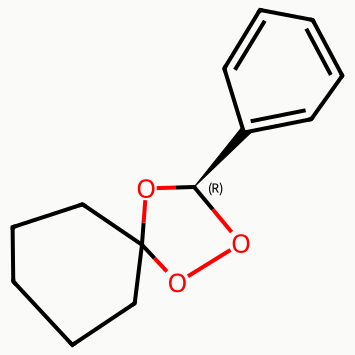 c1ccc([C@H]2OOC3(CCCCC3)O2)cc1